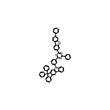 c1ccc(-c2ccc3c(c2)oc2cc(-c4nc(-c5ccccc5)nc(-c5cccc(-n6c7ccccc7c7cc8c(cc76)C(c6ccccc6)(c6ccccc6)c6ccccc6-8)c5)n4)ccc23)cc1